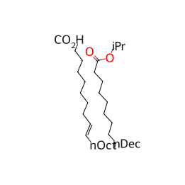 CCCCCCCCC=CCCCCCCCC(=O)O.CCCCCCCCCCCCCCCCCC(=O)OC(C)C